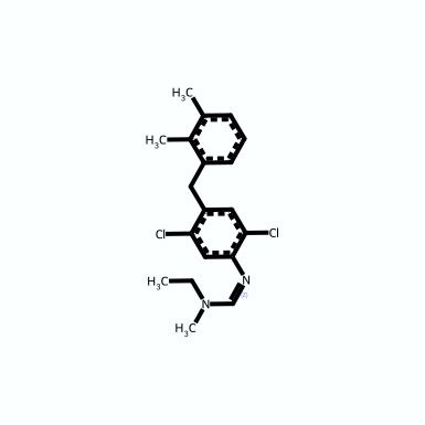 CCN(C)/C=N\c1cc(Cl)c(Cc2cccc(C)c2C)cc1Cl